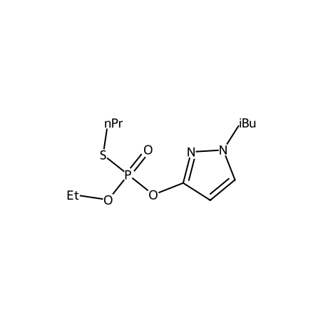 CCCSP(=O)(OCC)Oc1ccn(C(C)CC)n1